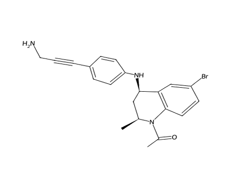 CC(=O)N1c2ccc(Br)cc2[C@H](Nc2ccc(C#CCN)cc2)C[C@@H]1C